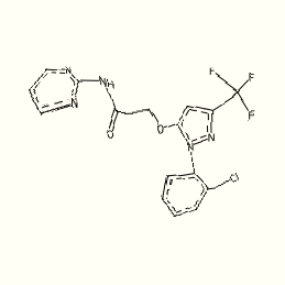 O=C(COc1cc(C(F)(F)F)nn1-c1ccccc1Cl)Nc1ncccn1